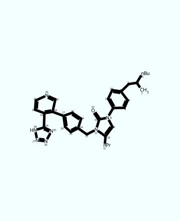 CCCCC(C)Cc1ccc(-n2cc(CCC)n(Cc3ccc(-c4cnccc4-c4nnn[nH]4)cc3)c2=O)cc1